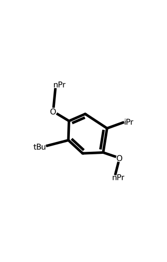 CCCOc1cc(C(C)(C)C)c(OCCC)cc1C(C)C